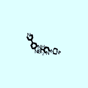 CN1CCN(c2ccc(C(=O)Nc3cc(-c4ccncc4)ccc3N)cn2)CC1